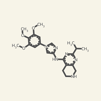 COc1cc(-n2cnc(Nc3nc(C(C)C)nc4c3CCNC4)c2)cc(OC)c1OC